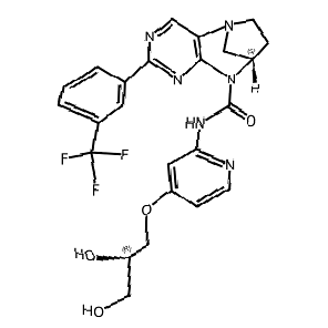 O=C(Nc1cc(OC[C@H](O)CO)ccn1)N1c2nc(-c3cccc(C(F)(F)F)c3)ncc2N2CC[C@H]1C2